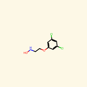 ONCCOc1cc(Cl)cc(Cl)c1